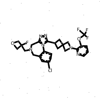 FC1(CN2Cc3cc(Cl)ccc3-n3c(nnc3C3CC4(C3)CN(c3ncccc3OC(F)(F)F)C4)C2)COC1